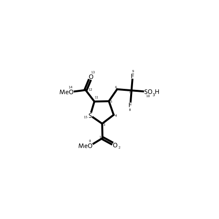 COC(=O)C1CC(CC(F)(F)S(=O)(=O)O)C(C(=O)OC)S1